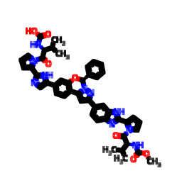 COC(=O)N[C@H](C(=O)n1cccc1-c1nc2ccc(-c3cc4n(n3)[C@H](c3ccccc3)Oc3cc(-c5cnc(-c6cccn6C(=O)[C@@H](NC(=O)O)C(C)C)[nH]5)ccc3-4)cc2[nH]1)C(C)C